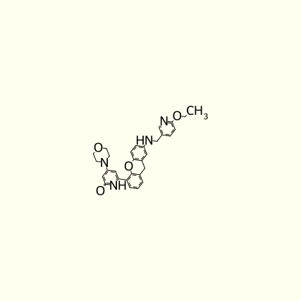 CCOc1ccc(CNc2ccc3c(c2)Cc2cccc(-c4cc(N5CCOCC5)cc(=O)[nH]4)c2O3)cn1